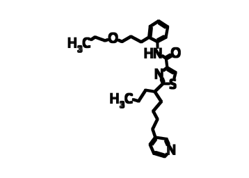 CCCOCCCc1ccccc1NC(=O)c1csc(C(CCC)CCCCc2cccnc2)n1